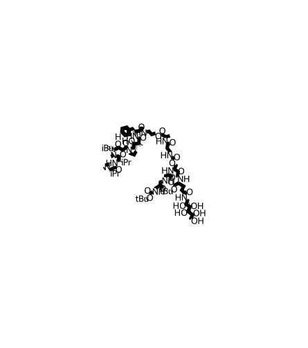 CC[C@H](C)[C@@H]([C@H](O)CC(=O)N1CCC[C@H]1[C@H](O)[C@@H](C)C(=O)N[C@@H](Cc1ccccc1)C(=O)NCCCOC(=O)C(C)NC(=O)CCNC(=O)OCC(NC(=O)CNCC(=O)CNC(=O)OC(C)(C)C)C(=O)CNC(CCC(=O)NC[C@H](O)[C@@H](O)[C@H](O)[C@H](O)CO)C(=O)OC(C)(C)C)N(C)C(=O)[C@@H](NC(=O)[C@H](C(C)C)N(C)C)C(C)C